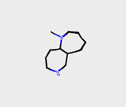 CN1CCCCC2CNCCCC21